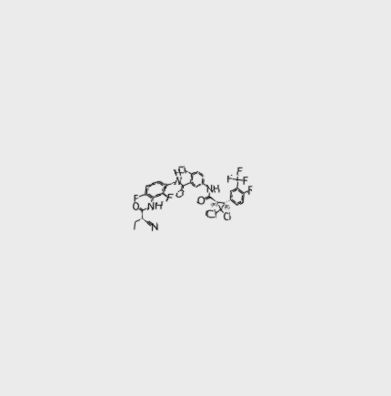 CCC(C#N)C(=O)Nc1c(F)ccc(NC(=O)c2cc(NC(=O)[C@H]3[C@H](c4ccc(F)c(C(F)(F)F)c4)C3(Cl)Cl)ccc2Cl)c1F